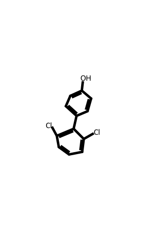 Oc1ccc(-c2c(Cl)cccc2Cl)cc1